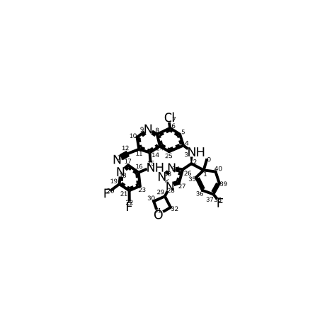 CC1([C@H](Nc2cc(Cl)c3ncc(C#N)c(Nc4cnc(F)c(F)c4)c3c2)c2cn(C3COC3)nn2)C=CC(F)=CC1